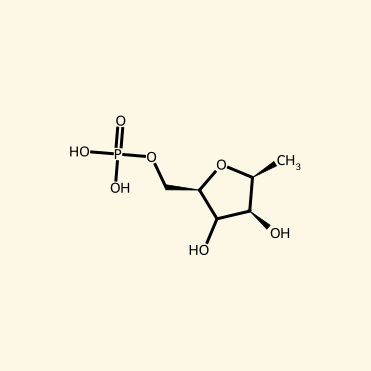 C[C@@H]1O[C@H](COP(=O)(O)O)C(O)[C@@H]1O